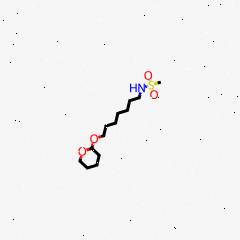 CS(=O)(=O)NCCCCCCCOC1CCCCO1